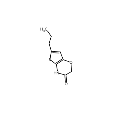 CCCc1cc2c(s1)NC(=O)CO2